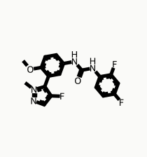 COc1ccc(NC(=O)Nc2ccc(F)cc2F)cc1-c1c(F)cnn1C